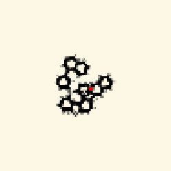 c1ccc(N(c2cccc(-c3cccc4ccccc34)c2)c2cccc3oc4ccc5c6cc7ccccc7cc6sc5c4c23)cc1